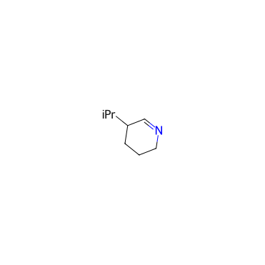 CC(C)C1C=NCCC1